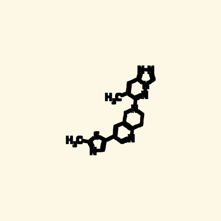 Cc1ncc(-c2cnc3c(c2)CN(c2nn4cnnc4cc2C)CC3)s1